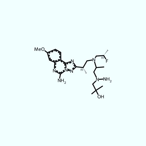 COc1ccc2c(c1)nc(N)n1nc([C@@H](C)CN(C[C@H](C)F)C(C)CN(N)CC(C)(C)O)nc21